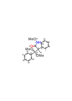 CONC(=O)C(C)(c1ccccc1)C(OC)(OC)c1ccccc1